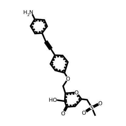 CS(=O)(=O)Cc1cc(=O)c(O)c(COc2ccc(C#Cc3ccc(N)cc3)cc2)o1